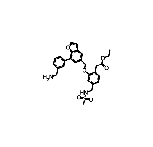 CCOC(=O)Cc1ccc(CNS(C)(=O)=O)cc1OCc1cc(-c2cccc(CN)c2)c2occc2c1